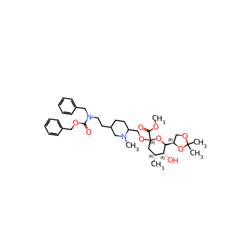 COC(=O)[C@@]1(OCC2CCC(CCN(Cc3ccccc3)C(=O)OCc3ccccc3)CN2C)C[C@@H](C)[C@@H](O)C([C@H]2COC(C)(C)O2)O1